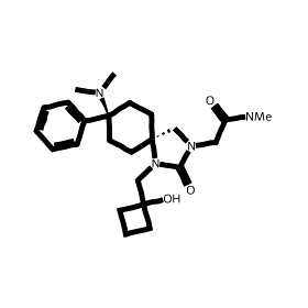 CNC(=O)CN1C[C@]2(CC[C@](c3ccccc3)(N(C)C)CC2)N(CC2(O)CCC2)C1=O